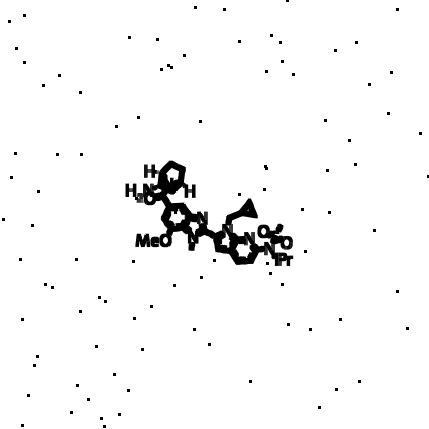 COc1cc(C(=O)N2[C@H]3CC[C@@H]2[C@H](N)C3)cc2nc(-c3cc4ccc(N(C(C)C)S(C)(=O)=O)nc4n3CC3CC3)n(C)c12